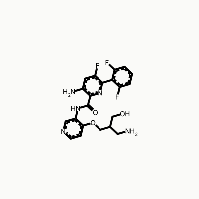 NCC(CO)COc1ccncc1NC(=O)c1nc(-c2c(F)cccc2F)c(F)cc1N